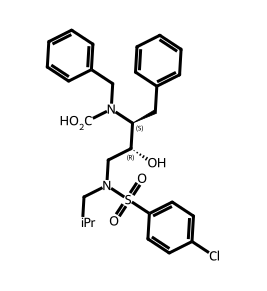 CC(C)CN(C[C@@H](O)[C@H](Cc1ccccc1)N(Cc1ccccc1)C(=O)O)S(=O)(=O)c1ccc(Cl)cc1